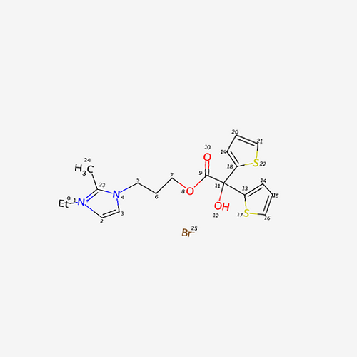 CC[n+]1ccn(CCCOC(=O)C(O)(c2cccs2)c2cccs2)c1C.[Br-]